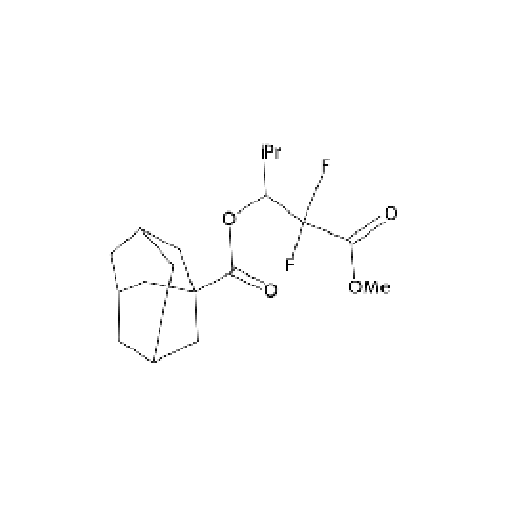 COC(=O)C(F)(F)C(OC(=O)C12CC3CC(CC(C3)C1)C2)C(C)C